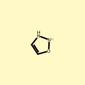 C1=CO[N+]N1